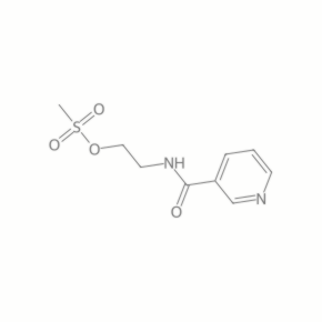 CS(=O)(=O)OCCNC(=O)c1cccnc1